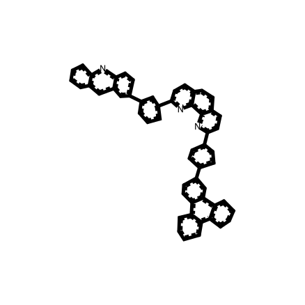 c1cc(-c2ccc3nc4ccccc4cc3c2)cc(-c2ccc3ccc4ccc(-c5ccc(-c6ccc7c8ccccc8c8ccccc8c7c6)cc5)nc4c3n2)c1